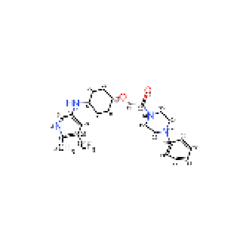 Cc1ncc(NC2CCC(OCC(=O)N3CCN(c4ccccc4)CC3)CC2)cc1C(F)(F)F